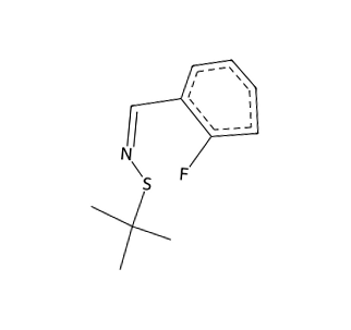 CC(C)(C)S/N=C\c1ccccc1F